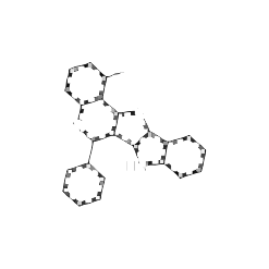 Clc1cccc2nc(-c3ccccc3)c3c4[nH]c5ccccc5c4sc3c12